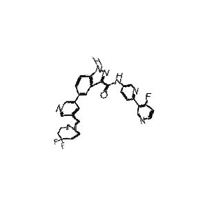 O=C(Nc1ccc(-c2cnccc2F)nc1)c1n[nH]c2ccc(-c3cncc(CN4CCC(F)(F)CC4)c3)cc12